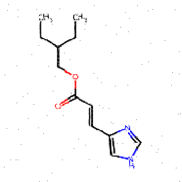 CCC(CC)COC(=O)C=Cc1c[nH]cn1